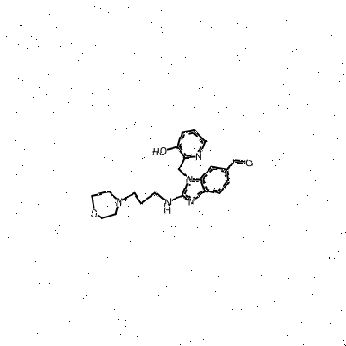 O=Cc1ccc2nc(NCCCN3CCOCC3)n(Cc3ncccc3O)c2c1